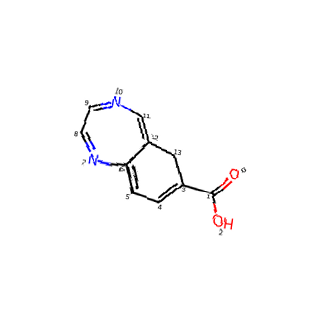 O=C(O)C1=CC=C2N=CC=NC=C2C1